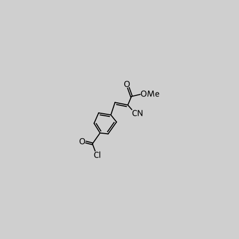 COC(=O)/C(C#N)=C/c1ccc(C(=O)Cl)cc1